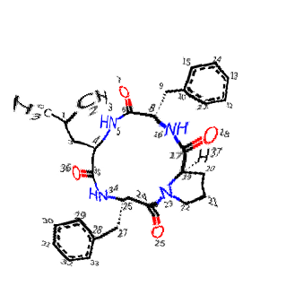 CC(C)C[C@H]1NC(=O)[C@H](Cc2ccccc2)NC(=O)[C@H]2CCCN2C(=O)[C@H](Cc2ccccc2)NC1=O